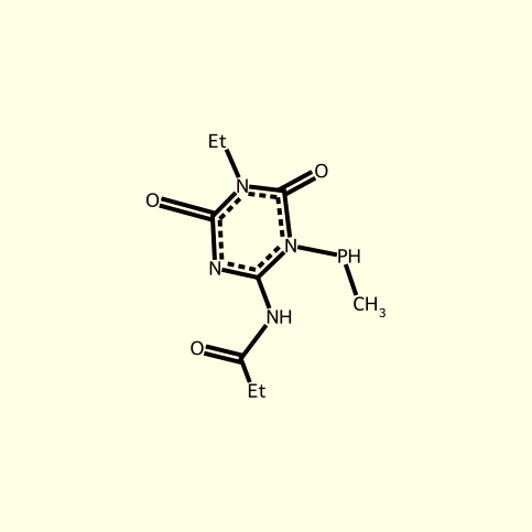 CCC(=O)Nc1nc(=O)n(CC)c(=O)n1PC